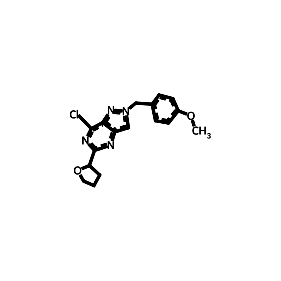 COc1ccc(Cn2cc3nc(C4CCCO4)nc(Cl)c3n2)cc1